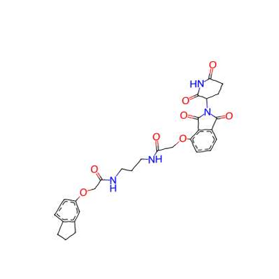 O=C(COc1ccc2c(c1)CCC2)NCCCNC(=O)COc1cccc2c1C(=O)N(C1CCC(=O)NC1=O)C2=O